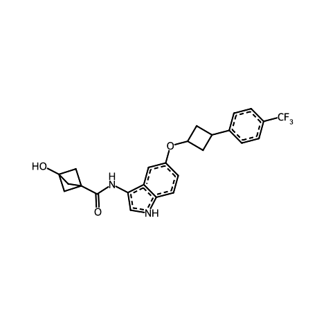 O=C(Nc1c[nH]c2ccc(OC3CC(c4ccc(C(F)(F)F)cc4)C3)cc12)C12CC(O)(C1)C2